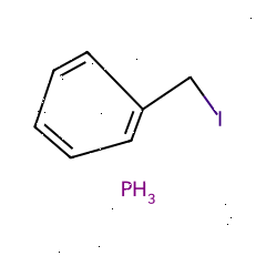 ICc1ccccc1.P